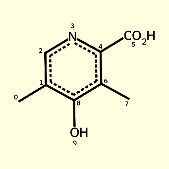 Cc1cnc(C(=O)O)c(C)c1O